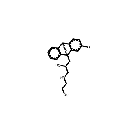 OCCNCC(O)CC12CCC(c3ccccc31)c1ccc(Cl)cc12